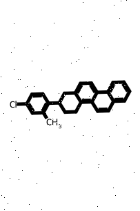 Cc1cc(Cl)ccc1C1CCc2c(ccc3c2ccc2ccccc23)C1